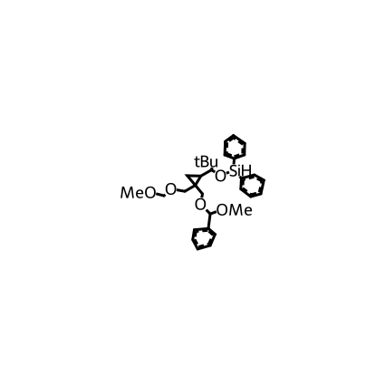 COCOCC1(COC(OC)c2ccccc2)CC1C(O[SiH](c1ccccc1)c1ccccc1)C(C)(C)C